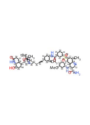 COc1cccc(Nc2c(C(N)=O)cnc3c(C)cc(S(=O)(=O)c4cccc(C(=O)Nc5ccc(C#CCCCNCC(O[Si](C)(C)C(C)(C)C)c6ccc(O)c7[nH]c(=O)ccc67)cc5C)c4)cc23)c1